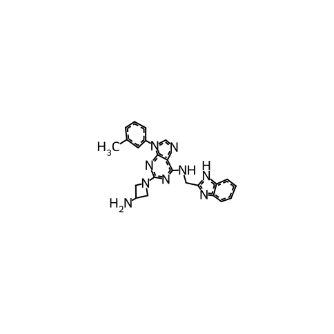 Cc1cccc(-n2cnc3c(NCc4nc5ccccc5[nH]4)nc(N4CC(N)C4)nc32)c1